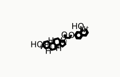 C[C@@]1(O)CC[C@@]2(F)[C@H](CC[C@H]3[C@@H]4CC[C@H](C(=O)COc5ccc6ccc[n+](O)c6c5)[C@@]4(C)CC[C@@H]32)C1